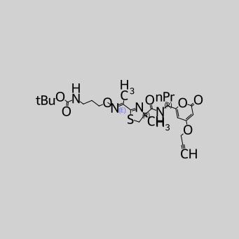 C#CCOc1cc([C@@H](CCC)NC(=O)[C@]2(C)CSC(/C(C)=N/OCCCNC(=O)OC(C)(C)C)=N2)oc(=O)c1